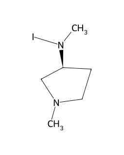 CN1CC[C@H](N(C)I)C1